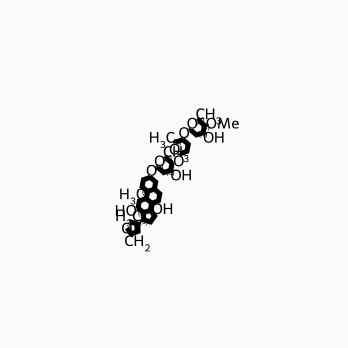 C=C1C=C([C@@H]2CCC3(O)C4CCC5CC(O[C@H]6C[C@H](O)C(OC7CCC(OC8C[C@@H](O)[C@@H](OC)[C@@H](C)O8)[C@@H](C)O7)[C@@H](C)O6)CC[C@]5(C)C4CC(O)[C@]23C)CO1